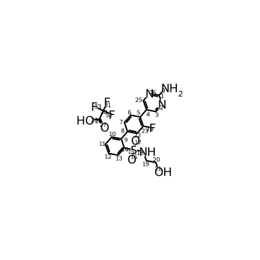 Nc1ncc(-c2ccc(-c3ccccc3S(=O)(=O)NCCO)cc2F)cn1.O=C(O)C(F)(F)F